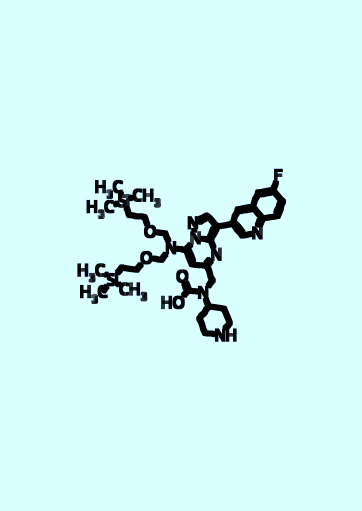 C[Si](C)(C)CCOCN(COCC[Si](C)(C)C)c1cc(CN(C(=O)O)C2CCNCC2)nc2c(-c3cnc4ccc(F)cc4c3)cnn12